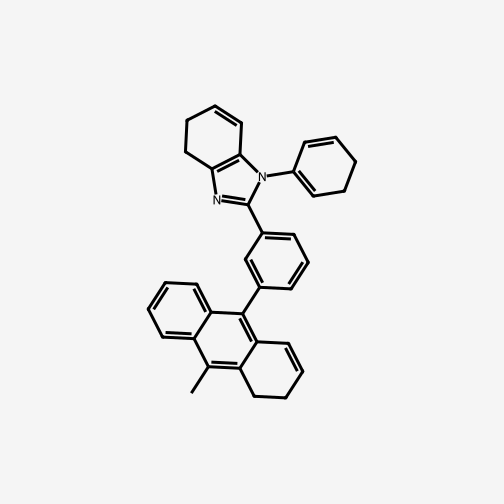 Cc1c2c(c(-c3cccc(-c4nc5c(n4C4=CCCC=C4)C=CCC5)c3)c3ccccc13)C=CCC2